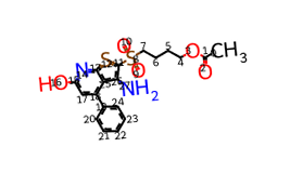 CC(=O)OCCCCS(=O)(=O)c1sc2nc(O)cc(-c3ccccc3)c2c1N